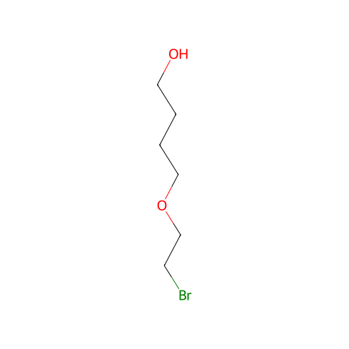 OCCCCOCCBr